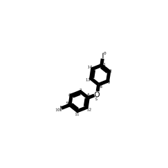 IC1=CCC(Oc2ccc(I)cc2)C=C1